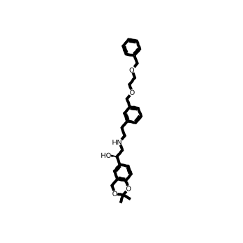 CC1(C)OCc2cc([C@@H](O)CNCCc3cccc(COCCOCc4ccccc4)c3)ccc2O1